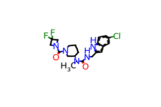 CN(C(=O)NCc1cc2cc(Cl)ccc2[nH]1)[C@@H]1CCCN(C(=O)N2CC(F)(F)C2)C1